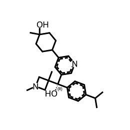 CC(C)c1ccc([C@](O)(c2cncc(C3CCC(C)(O)CC3)c2)C2(C)CN(C)C2)cc1